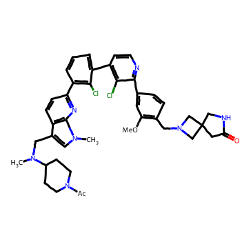 COc1cc(-c2nccc(-c3cccc(-c4ccc5c(CN(C)C6CCN(C(C)=O)CC6)cn(C)c5n4)c3Cl)c2Cl)ccc1CN1CC2(CNC(=O)C2)C1